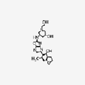 Cc1cc2c(c(O)c1-c1cnc3oc(N[C@@H]4C[C@H](O)CN(CCO)C4)nc3n1)CCO2